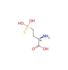 N[C@H](CCP(O)(O)=S)C(=O)O